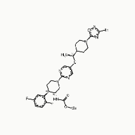 CCc1noc(N2CCC([C@H](C)Oc3cnc(N4CC[C@H](c5cc(F)ccc5F)[C@@H](NC(=O)OC(C)(C)C)C4)nc3)CC2)n1